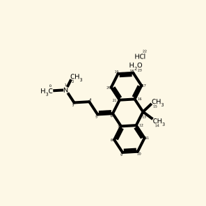 CN(C)CCC=C1c2ccccc2C(C)(C)c2ccccc21.Cl.O